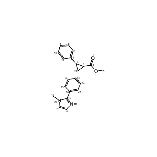 COC(=O)[C@@H]1[C@H](c2ccccc2)[C@H]1c1ccc(-c2nccn2C)cc1